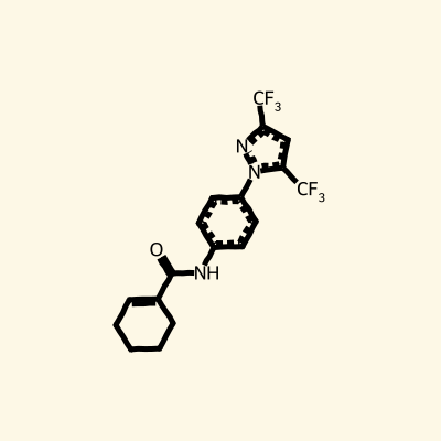 O=C(Nc1ccc(-n2nc(C(F)(F)F)cc2C(F)(F)F)cc1)C1=CCCCC1